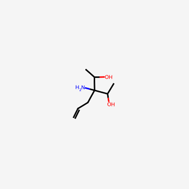 C=CCC(N)(C(C)O)C(C)O